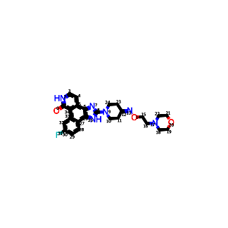 O=c1[nH]ccc2c3nc(N4CCC(=NOCCN5CCOCC5)CC4)[nH]c3c3ccc(F)cc3c12